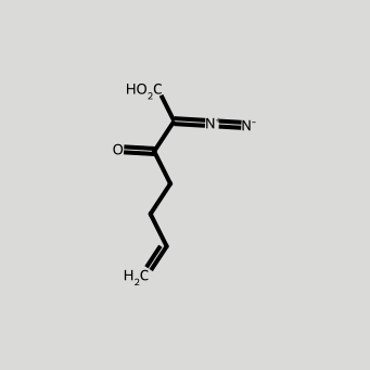 C=CCCC(=O)C(=[N+]=[N-])C(=O)O